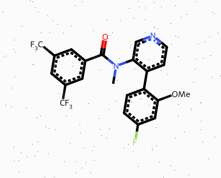 COc1cc(F)ccc1-c1ccncc1N(C)C(=O)c1cc(C(F)(F)F)cc(C(F)(F)F)c1